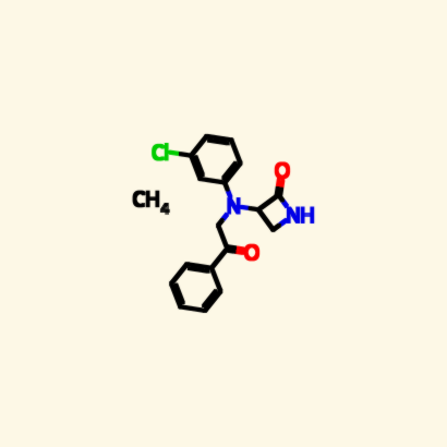 C.O=C(CN(c1cccc(Cl)c1)C1CNC1=O)c1ccccc1